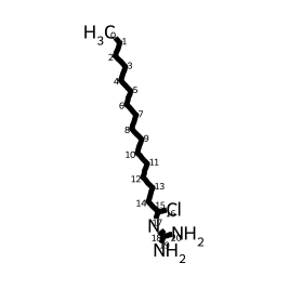 CCCCCCCCCCCCCCCC(Cl)N=C(N)N